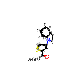 COC(=O)c1cc(N2CCc3ccccc32)cs1